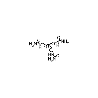 NC(=O)NCOCP(=O)(COCNC(N)=O)COCNC(N)=O